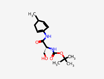 CC1C=CC(NC(=O)[C@@H](CO)NC(=O)OC(C)(C)C)=CC1